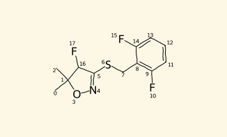 CC1(C)ON=C(SCc2c(F)cccc2F)C1F